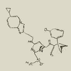 C[S+]([O-])c1nc(NCc2cn3cc(C4CC4)ccc3n2)cc(NC(=O)C2(c3cccc(Cl)c3)CC2)n1